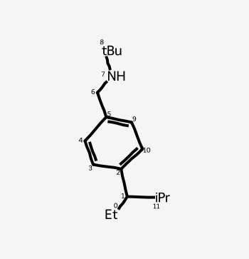 CCC(c1ccc(CNC(C)(C)C)cc1)C(C)C